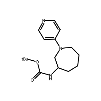 CC(C)(C)OC(=O)NC1CCCCN(c2ccncc2)C1